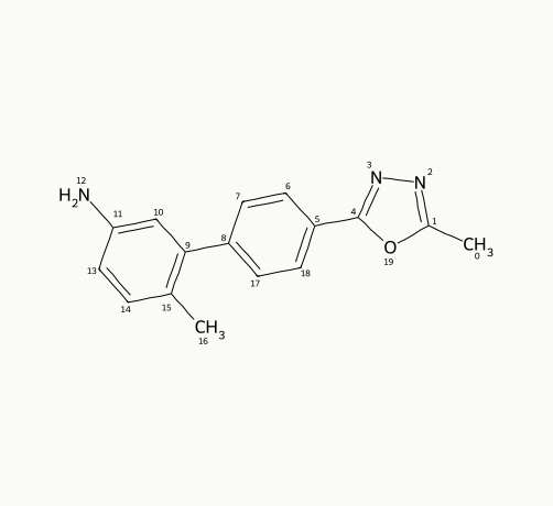 Cc1nnc(-c2ccc(-c3cc(N)ccc3C)cc2)o1